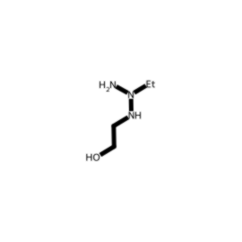 CCN(N)NCCO